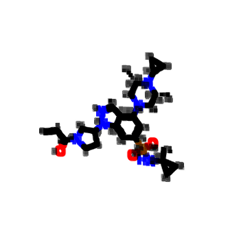 C=CC(=O)N1CCC(n2ncc3c(N4C[C@@H](C)N(C5CC5)[C@@H](C)C4)cc(S(=O)(=O)NC4(C)CC4)cc32)C1